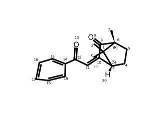 CC1(C)[C@@H]2CC[C@@]1(C)C(=O)/C2=C\C(=O)c1ccccc1